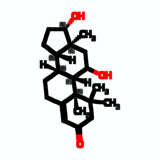 CC1(C)CC(=O)C=C2CC[C@H]3[C@@H]4CC[C@H](O)[C@@]4(C)CC(O)[C@@H]3[C@]21C